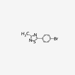 Cc1nsc(-c2ccc(Br)cc2)n1